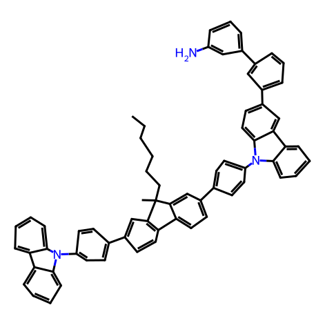 CCCCCCC1(C)c2cc(-c3ccc(-n4c5ccccc5c5ccccc54)cc3)ccc2-c2ccc(-c3ccc(-n4c5ccccc5c5cc(-c6cccc(-c7cccc(N)c7)c6)ccc54)cc3)cc21